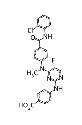 CN(c1ccc(C(=O)Nc2ccccc2Cl)cc1)c1nc(Nc2ccc(C(=O)O)cc2)ncc1F